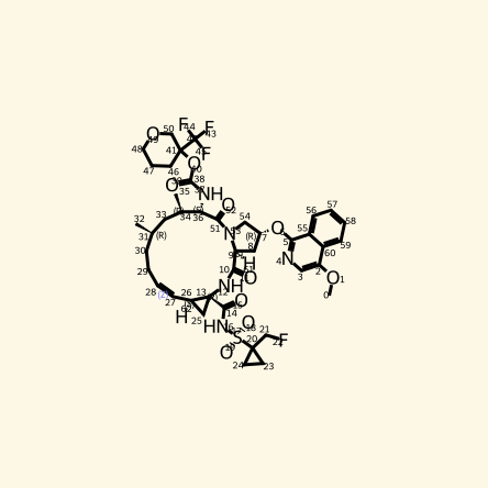 COc1cnc(O[C@@H]2C[C@H]3C(=O)N[C@]4(C(=O)NS(=O)(=O)C5(CF)CC5)C[C@H]4/C=C\CC[C@@H](C)C[C@@H](C)[C@H](NC(=O)OC4(C(F)(F)F)CCCOC4)C(=O)N3C2)c2ccccc12